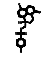 Cc1ccc(S(=O)(=O)OCC2(O)CCn3c(=O)ccc4c(F)ccc2c43)cc1